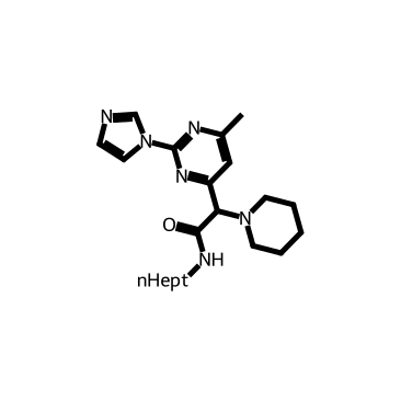 CCCCCCCNC(=O)C(c1cc(C)nc(-n2ccnc2)n1)N1CCCCC1